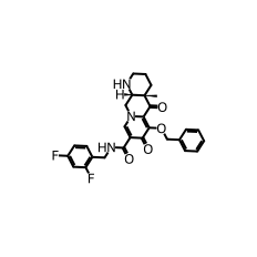 C[C@]12CCCN[C@H]1Cn1cc(C(=O)NCc3ccc(F)cc3F)c(=O)c(OCc3ccccc3)c1C2=O